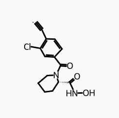 [C]#Cc1ccc(C(=O)N2CCCC[C@H]2C(=O)NO)cc1Cl